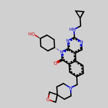 O=c1c2cc(CN3CCC4(CC3)COC4)ccc2c2cnc(NCC3CC3)nc2n1[C@H]1CC[C@H](O)CC1